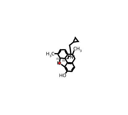 CC1=CC=C2C3Cc4ccc(O)c5c4[C@@]2(CC[N+]3(C)CC2CC2)[C@H]1O5